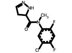 CN(C(=O)C1CC=NN1)c1cc(Cl)c(F)cc1F